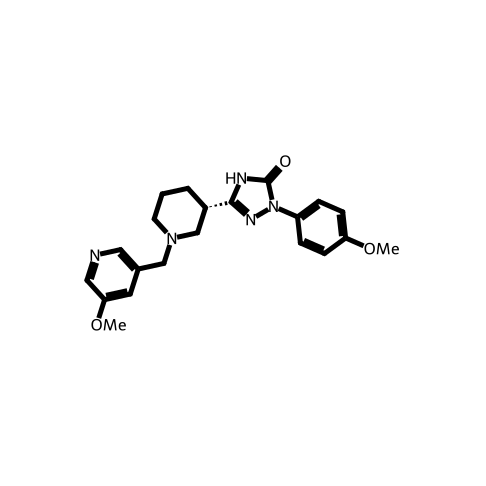 COc1ccc(-n2nc([C@H]3CCCN(Cc4cncc(OC)c4)C3)[nH]c2=O)cc1